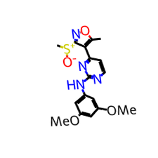 COc1cc(Nc2nccc(-c3c([S+](C)[O-])noc3C)n2)cc(OC)c1